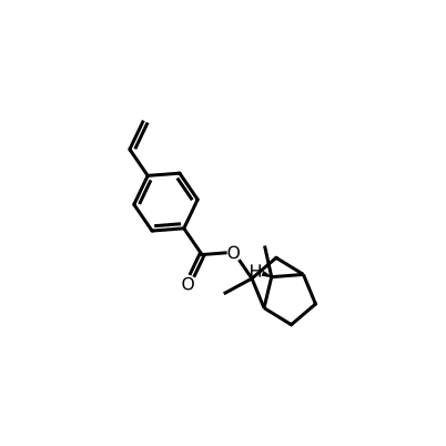 C=Cc1ccc(C(=O)OC2(C)CC3CCC2[C@@H]3C)cc1